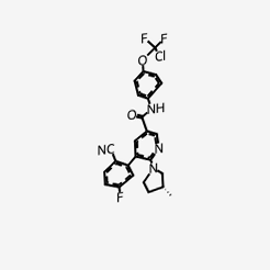 C[C@@H]1CCN(c2ncc(C(=O)Nc3ccc(OC(F)(F)Cl)cc3)cc2-c2cc(F)ccc2C#N)C1